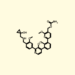 COc1cc(-c2nccc(-c3cccc(-c4ccc(COC(N)=O)c(OC)n4)c3Cl)c2Cl)ccc1CNCC1(O)CC1